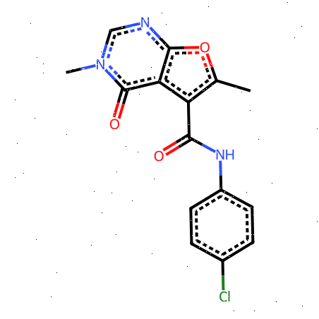 Cc1oc2ncn(C)c(=O)c2c1C(=O)Nc1ccc(Cl)cc1